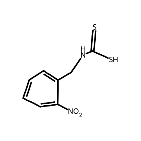 O=[N+]([O-])c1ccccc1CNC(=S)S